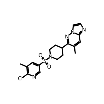 Cc1cc(S(=O)(=O)N2CCC(c3nn4ccnc4cc3C)CC2)cnc1Cl